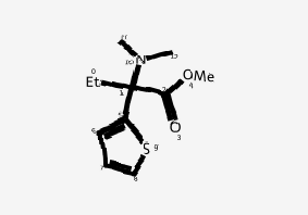 CCC(C(=O)OC)(c1cccs1)N(C)C